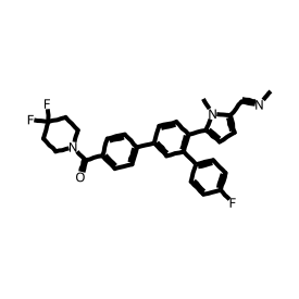 C/N=C/c1ccc(-c2ccc(-c3ccc(C(=O)N4CCC(F)(F)CC4)cc3)cc2-c2ccc(F)cc2)n1C